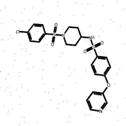 O=S(=O)(NC1CCN(S(=O)(=O)c2ccc(Cl)cc2)CC1)c1ccc(Oc2cccnc2)cc1